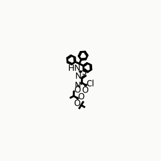 CC(CON=C(C(=O)Cl)c1csc(NC(c2ccccc2)(c2ccccc2)c2ccccc2)n1)C(=O)OC(C)(C)C